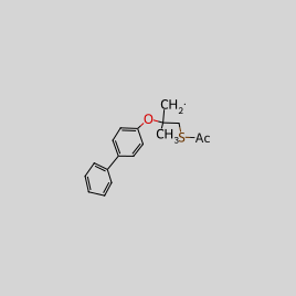 [CH2]C(C)(CSC(C)=O)Oc1ccc(-c2ccccc2)cc1